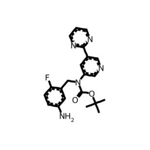 CC(C)(C)OC(=O)N(Cc1cc(N)ccc1F)c1cncc(-c2ncccn2)c1